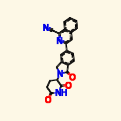 N#Cc1nc(-c2ccc3c(c2)CN(C2CCC(=O)NC2=O)C3=O)cc2ccccc12